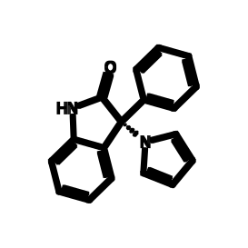 O=C1Nc2ccccc2[C@@]1(c1ccccc1)n1cccc1